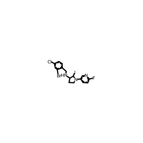 Fc1ccc(N2CCC(NCc3ccc(Cl)cc3Br)C2I)cn1